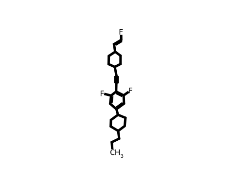 CCCC1CCC(c2cc(F)c(C#CC3CCC(C=CF)CC3)c(F)c2)CC1